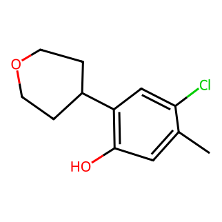 Cc1cc(O)c(C2CCOCC2)cc1Cl